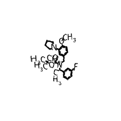 COc1ccc(CN(C(=O)OC(C)(C)C)[C@H](C)c2cccc(F)c2)cc1N1CCCC1